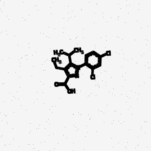 CCc1c(C(=O)O)nn(-c2ccc(Cl)cc2Cl)c1C(C)C